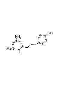 CNC(=O)[C@H](CCCc1ccc(O)cc1)OC(N)=O